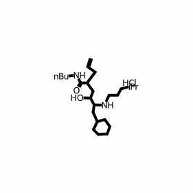 C=CCC(CC(O)C(CC1CCCCC1)NCCCC(C)C)C(=O)NCCCC.Cl